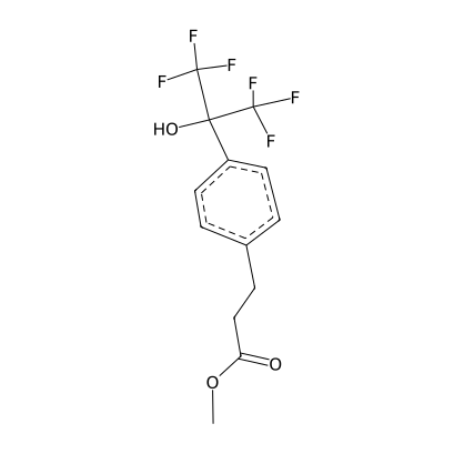 COC(=O)CCc1ccc(C(O)(C(F)(F)F)C(F)(F)F)cc1